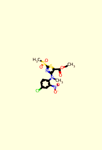 CCOC(=O)c1sc(S(C)(=O)=O)nc1N(C)c1ccc(Cl)cc1[N+](=O)[O-]